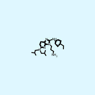 CCc1ccc(Nc2nc3ccc(N(CC(C)C)CC(C)C)nc3n2CCCN)cc1